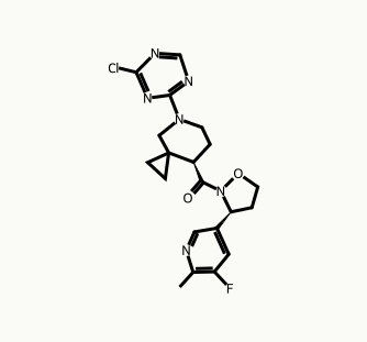 Cc1ncc([C@@H]2CCON2C(=O)[C@@H]2CCN(c3ncnc(Cl)n3)CC23CC3)cc1F